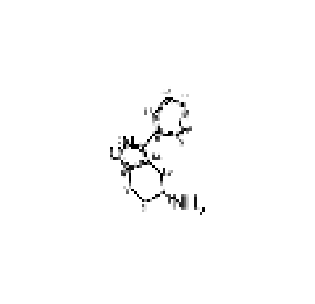 NC1CCc2onc(-c3ccccc3)c2C1